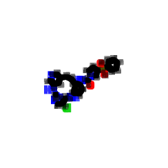 O=C(Nc1ccc2cc1CCc1cncc(c1)Nc1ncc(Cl)c(n1)N2)N1CCC(S(=O)(=O)c2ccccc2)C1